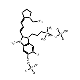 CCN1CCS/C1=C/C=C/C1N(C)c2cc(Cl)c(Cl)cc2N1CCC[N+](C)(C)C.[O-][Cl+3]([O-])([O-])O.[O-][Cl+3]([O-])([O-])[O-]